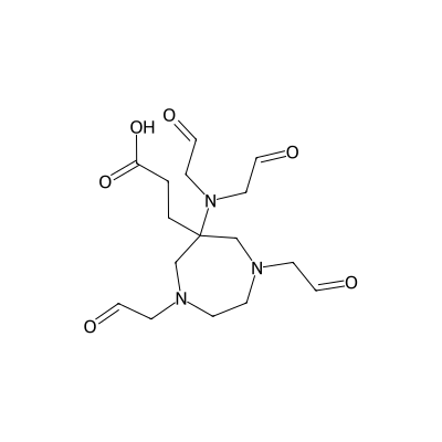 O=CCN1CCN(CC=O)CC(CCC(=O)O)(N(CC=O)CC=O)C1